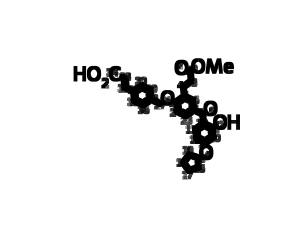 COC(=O)CCc1cc(C(=O)c2ccc(OC3CCCC3)cc2O)ccc1OCc1ccc(C=CC(=O)O)cc1